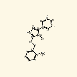 CC(=O)c1ccccc1CSc1nnc(-c2cccnc2)n1C